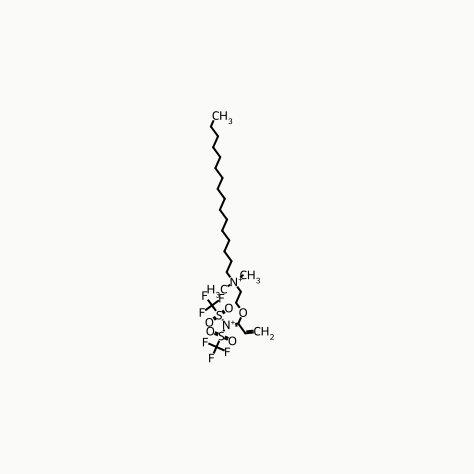 C=CC(OCC[N+](C)(C)CCCCCCCCCCCCCCCC)=[N+](S(=O)(=O)C(F)(F)F)S(=O)(=O)C(F)(F)F